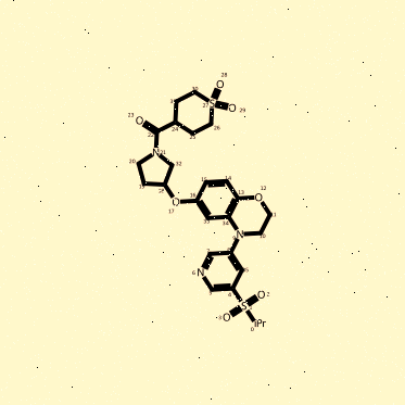 CC(C)S(=O)(=O)c1cncc(N2CCOc3ccc(OC4CCN(C(=O)C5CCS(=O)(=O)CC5)C4)cc32)c1